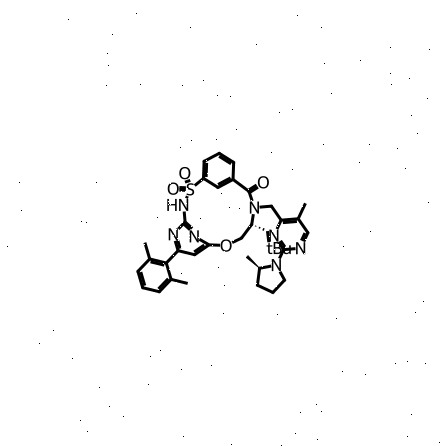 Cc1cnc(N2CCC[C@H]2C)nc1CN1C(=O)c2cccc(c2)S(=O)(=O)Nc2nc(cc(-c3c(C)cccc3C)n2)OC[C@H]1CC(C)(C)C